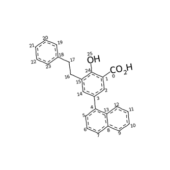 O=C(O)c1cc(-c2cccc3ccccc23)cc(CCc2ccccc2)c1O